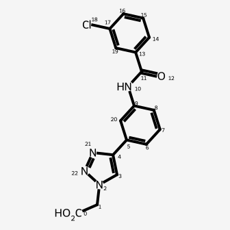 O=C(O)Cn1cc(-c2cccc(NC(=O)c3cccc(Cl)c3)c2)nn1